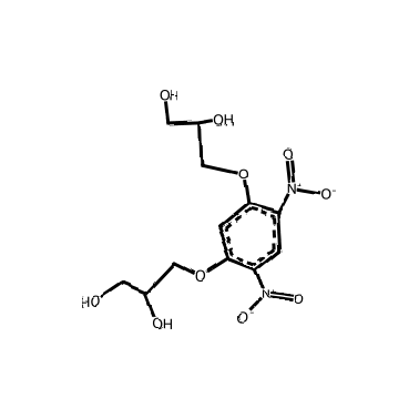 O=[N+]([O-])c1cc([N+](=O)[O-])c(OCC(O)CO)cc1OCC(O)CO